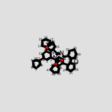 C1=C(C2=CC(c3ccccc3)=CC(c3ccccc3)C2)CCC(c2cccc3oc4cccc(-c5nc(-c6ccccc6)nc(-c6ccccc6)n5)c4c23)=C1